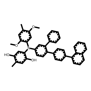 COc1cc(N(c2ccc(-c3ccc(-c4cccc5ccccc45)cc3)c(-c3ccccc3)c2)c2cc(O)c(C)cc2O)c(OC)cc1C